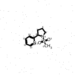 CS(=O)(=O)N1CCCC1c1ccccn1